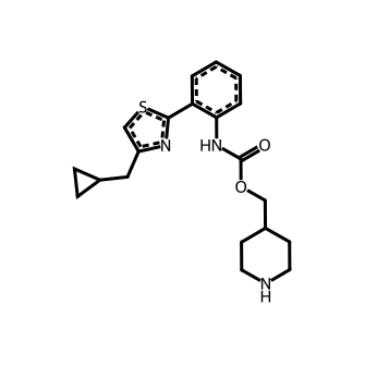 O=C(Nc1ccccc1-c1nc(CC2CC2)cs1)OCC1CCNCC1